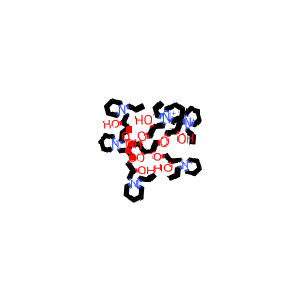 C=CC[N+]1(CC(O)COCC(OCC(O)C[N+]2(CC=C)CCCCC2)C(OCC(O)C[N+]2(CC=C)CCCCC2)C(OCC(O)C[N+]2(CC=C)CCCCC2)C(COCC(O)C[N+]2(CC=C)CCCCC2)OCC(O)C[N+]2(CC=C)CCCCC2)CCCCC1